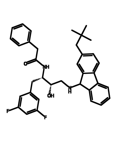 CC(C)(C)Cc1ccc2c(c1)C(NC[C@H](O)[C@H](Cc1cc(F)cc(F)c1)NC(=O)Cc1ccccc1)c1ccccc1-2